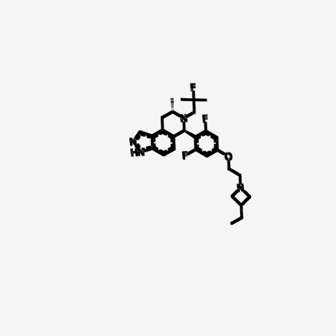 CCC1CN(CCOc2cc(F)c([C@H]3c4ccc5[nH]ncc5c4C[C@H](C)N3CC(C)(C)F)c(F)c2)C1